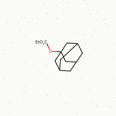 C[CH]OC(=O)OC12CC3CC(CC(C3)C1)C2